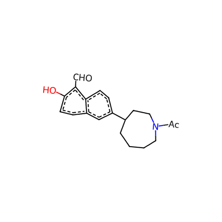 CC(=O)N1CCCCC(c2ccc3c(C=O)c(O)ccc3c2)CC1